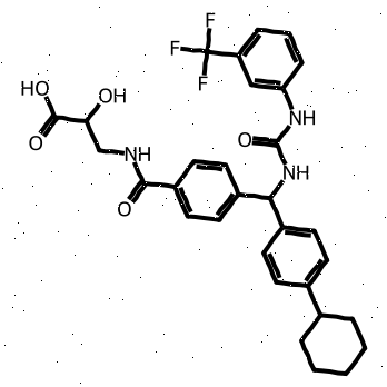 O=C(Nc1cccc(C(F)(F)F)c1)NC(c1ccc(C(=O)NCC(O)C(=O)O)cc1)c1ccc(C2CCCCC2)cc1